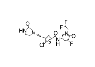 O=C1C[C@H](C#Cc2cc(C(=O)Nc3cc(F)c(=O)n(CC(F)F)c3)sc2Cl)CCN1